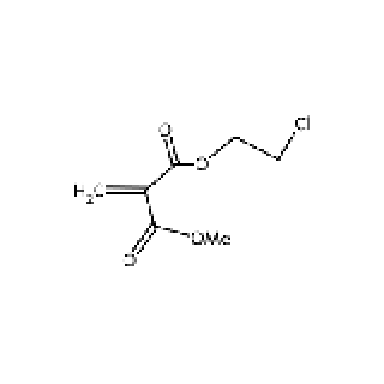 C=C(C(=O)OC)C(=O)OCCCl